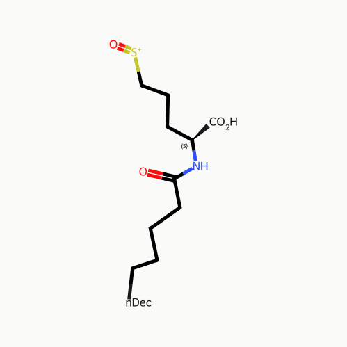 CCCCCCCCCCCCCCC(=O)N[C@@H](CCC[S+]=O)C(=O)O